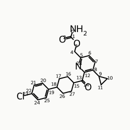 NC(=O)OCc1ccc(C2CC2)c(C(=O)C2CCC(c3ccc(Cl)cc3)CC2)n1